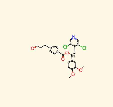 COc1ccc([C@H](Cc2c(Cl)cncc2Cl)OC(=O)c2ccc(CCC=O)cc2)cc1OC